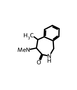 CNC1C(=O)NCc2ccccc2C1C